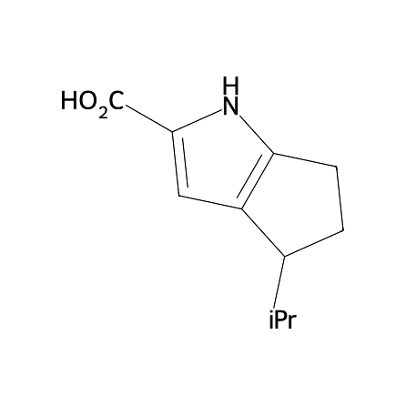 CC(C)C1CCc2[nH]c(C(=O)O)cc21